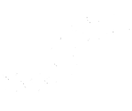 O=C(c1ccc2cc(Oc3ccc(C(F)(F)F)cn3)ccc2n1)N1CC(n2ccnc2)C1